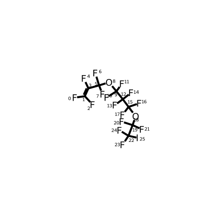 FC(F)=C(F)C(F)(F)OC(F)(F)C(F)(F)C(F)(F)OC(F)(F)C(F)(F)I